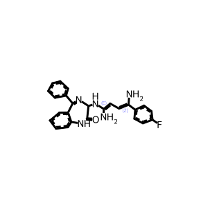 N/C(=C\C=C(/N)NC1N=C(c2ccccc2)c2ccccc2NC1=O)c1ccc(F)cc1